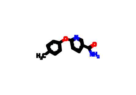 Cc1ccc(Oc2ccc(C(N)=O)cn2)cc1